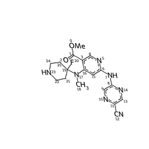 COC(=O)c1cnc(Nc2cnc(C#N)cn2)cc1N(C)C1(F)CCNCC1